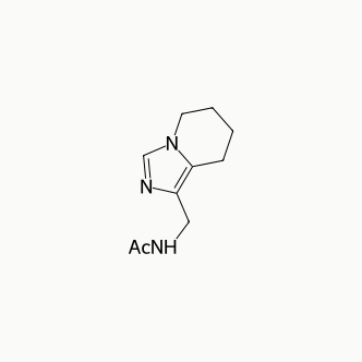 CC(=O)NCc1ncn2c1CCCC2